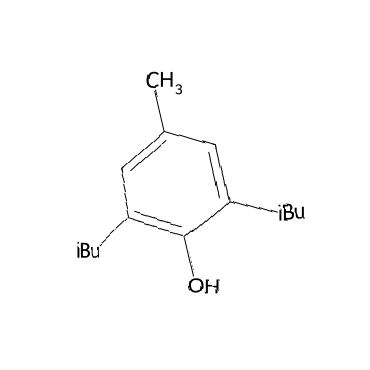 CCC(C)c1cc(C)cc(C(C)CC)c1O